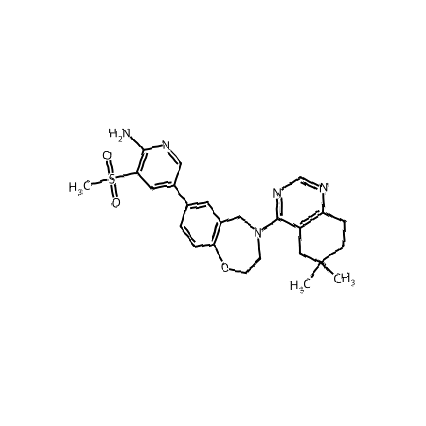 CC1(C)CCc2ncnc(N3CCOc4ccc(-c5cnc(N)c(S(C)(=O)=O)c5)cc4C3)c2C1